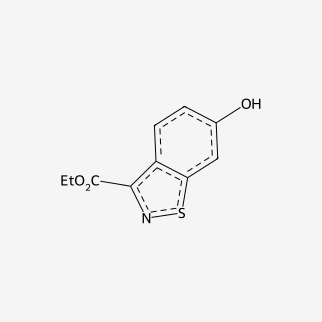 CCOC(=O)c1nsc2cc(O)ccc12